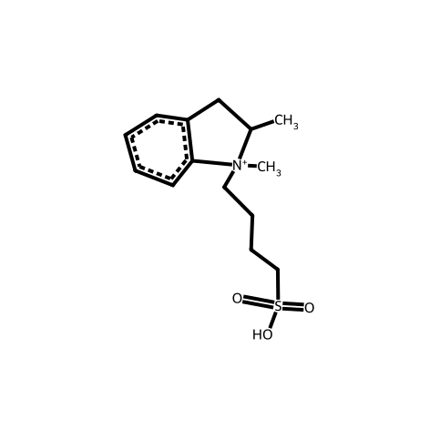 CC1Cc2ccccc2[N+]1(C)CCCCS(=O)(=O)O